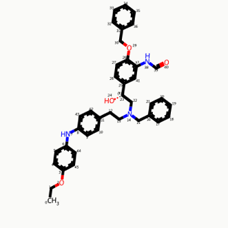 CCOc1ccc(Nc2ccc(CCN(Cc3ccccc3)C[C@H](O)c3ccc(OCc4ccccc4)c(NC=O)c3)cc2)cc1